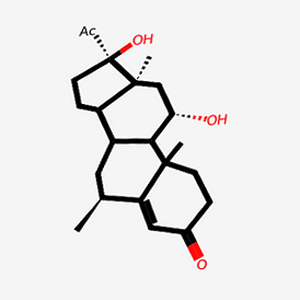 CC(=O)[C@@]1(O)CCC2C3C[C@H](C)C4=CC(=O)CCC4(C)C3[C@@H](O)C[C@@]21C